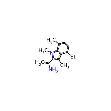 C=C(N)c1c(C)c2c(CC)ccc(C)c2n1C